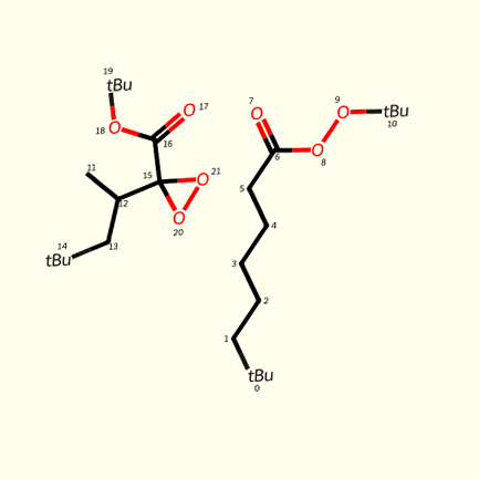 CC(C)(C)CCCCCC(=O)OOC(C)(C)C.CC(CC(C)(C)C)C1(C(=O)OC(C)(C)C)OO1